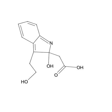 O=C(O)CC1(O)N=c2ccccc2=C1CCO